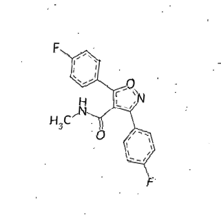 CNC(=O)c1c(-c2ccc(F)cc2)noc1-c1ccc(F)cc1